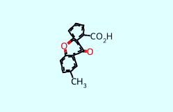 Cc1ccc2oc3cccc(C(=O)O)c3c(=O)c2c1